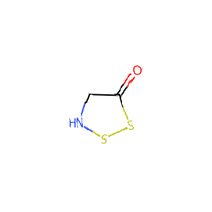 O=C1CNSS1